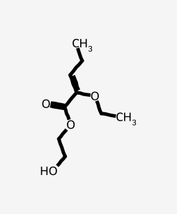 CCC=C(OCC)C(=O)OCCO